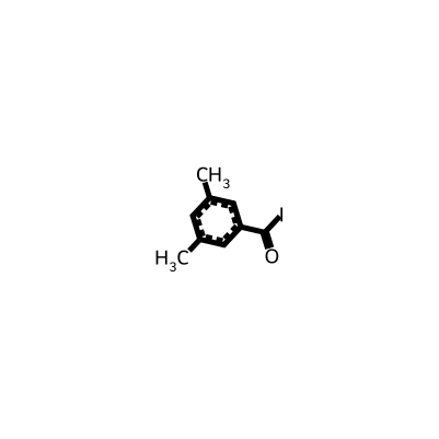 Cc1cc(C)cc(C(=O)I)c1